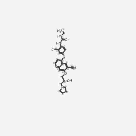 CCNC(=O)Nc1ccc(Oc2ccnc3cc(OC[C@H](O)CN4CCCC4)c(C#N)cc23)cc1Cl